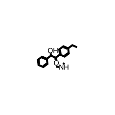 CCc1ccc(C(=O)C(O)c2ccccc2)cc1.CNC